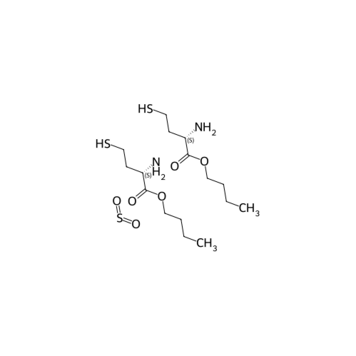 CCCCOC(=O)[C@@H](N)CCS.CCCCOC(=O)[C@@H](N)CCS.O=S=O